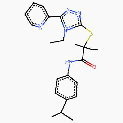 CCn1c(SC(C)(C)C(=O)Nc2ccc(C(C)C)cc2)nnc1-c1ccccn1